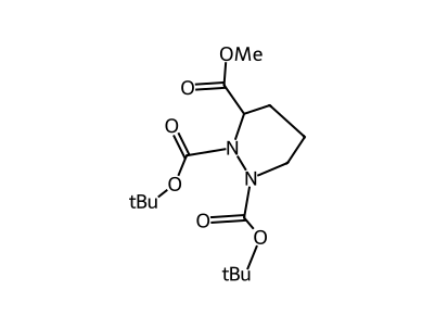 COC(=O)C1CCCN(C(=O)OC(C)(C)C)N1C(=O)OC(C)(C)C